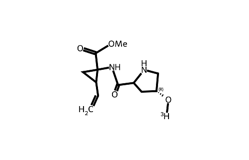 [3H]O[C@H]1CNC(C(=O)NC2(C(=O)OC)CC2C=C)C1